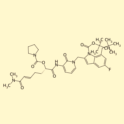 CN(C)C(=O)/C=C/CC[C@H](OC(=O)N1CCCC1)C(=O)Nc1cccn(Cc2cc3cc(F)cc(CC(C)(C)C)c3n2C(=O)OC(C)(C)C)c1=O